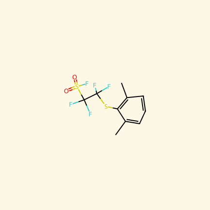 Cc1cccc(C)c1SC(F)(F)C(F)(F)S(=O)(=O)F